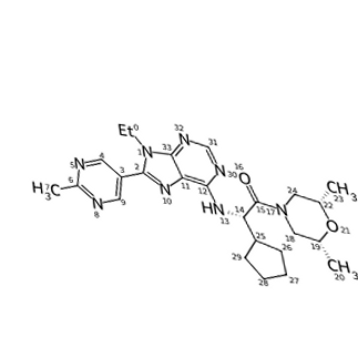 CCn1c(-c2cnc(C)nc2)nc2c(N[C@H](C(=O)N3C[C@@H](C)O[C@@H](C)C3)C3CCCC3)ncnc21